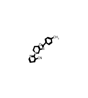 Cc1ccc(-c2nc3c(o2)CCN(c2ncccc2C#N)C3)cc1